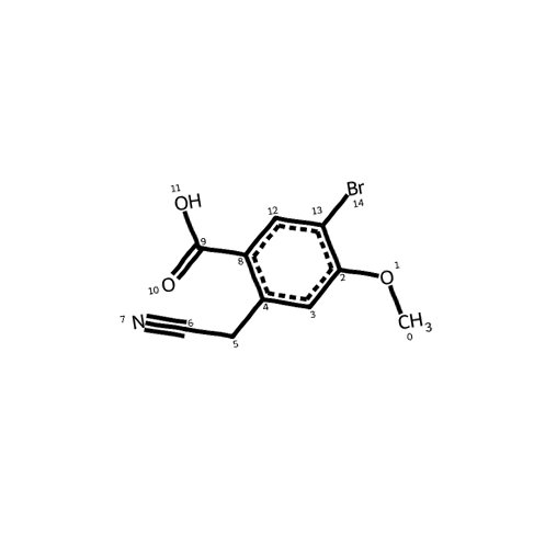 COc1cc(CC#N)c(C(=O)O)cc1Br